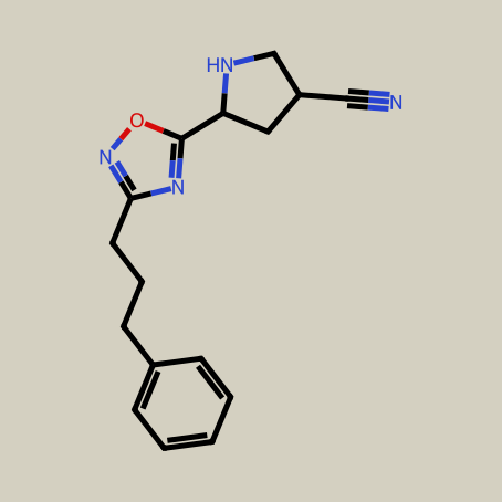 N#CC1CNC(c2nc(CCCc3ccccc3)no2)C1